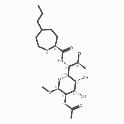 CCCC1CCN[C@H](C(=O)N[C@@H]([C@H]2O[C@H](SC)[C@H](OC(C)=O)[C@@H](O)[C@H]2O)[C@H](C)Cl)CC1